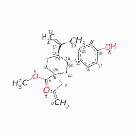 C=CC[C@]1(C(=O)OC)CC[C@@H](C(=C)C)[C@H](c2ccc(O)cc2)C1